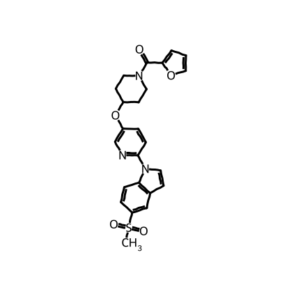 CS(=O)(=O)c1ccc2c(ccn2-c2ccc(OC3CCN(C(=O)c4ccco4)CC3)cn2)c1